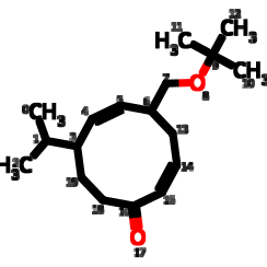 CC(C)C1C=CC(COC(C)(C)C)CC=CC(=O)CC1